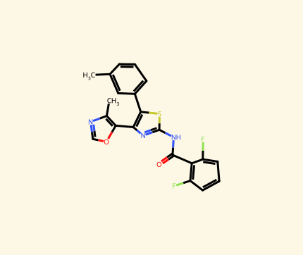 Cc1cccc(-c2sc(NC(=O)c3c(F)cccc3F)nc2-c2ocnc2C)c1